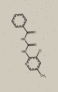 Cc1cnc(NC(=S)NC(=O)c2ccccc2)c(Cl)c1